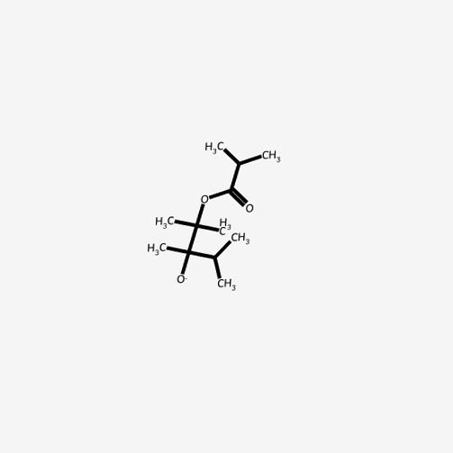 CC(C)C(=O)OC(C)(C)C(C)([O])C(C)C